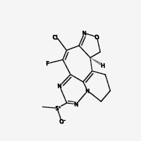 C[S+]([O-])C1=NN2CCCC3=C2C(=N1)C(F)=C(Cl)C1=NOC[C@H]13